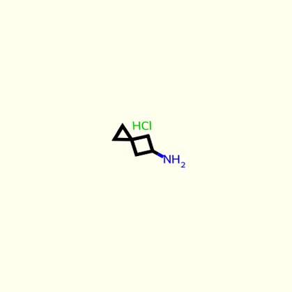 Cl.NC1CC2(CC2)C1